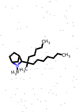 BN1C2CCC(C2)C1C(C)(CCCCC)CCCCCCC